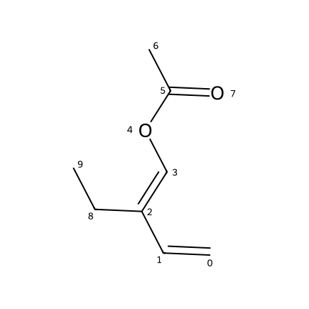 C=CC(=COC(C)=O)CC